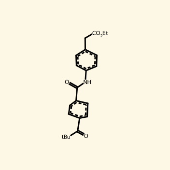 CCOC(=O)Cc1ccc(NC(=O)c2ccc(C(=O)C(C)(C)C)cc2)cc1